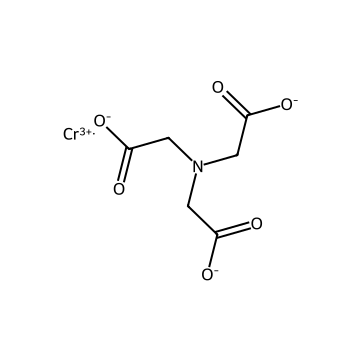 O=C([O-])CN(CC(=O)[O-])CC(=O)[O-].[Cr+3]